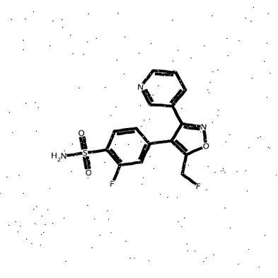 NS(=O)(=O)c1ccc(-c2c(-c3cccnc3)noc2CF)cc1F